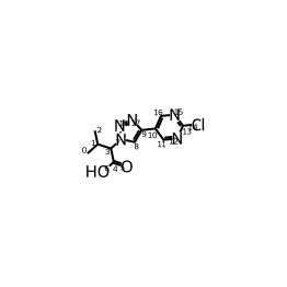 CC(C)C(C(=O)O)n1cc(-c2cnc(Cl)nc2)nn1